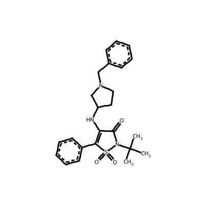 CC(C)(C)N1C(=O)C(NC2CCN(Cc3ccccc3)C2)=C(c2ccccc2)S1(=O)=O